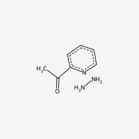 CC(=O)c1ccccn1.NN